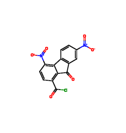 O=C(Cl)c1ccc([N+](=O)[O-])c2c1C(=O)c1cc([N+](=O)[O-])ccc1-2